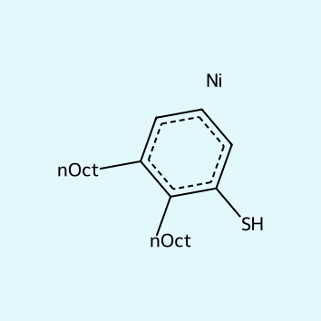 CCCCCCCCc1cccc(S)c1CCCCCCCC.[Ni]